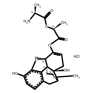 C[C@H](N)C(=O)O[C@@H](C)C(=O)OC1=CC[C@]2(O)C3Cc4ccc(O)c5c4[C@@]2(CCN3C)[C@H]1O5.Cl